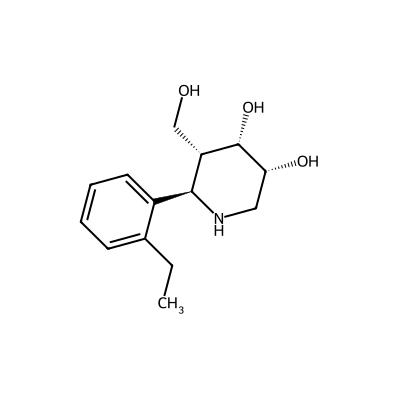 CCc1ccccc1[C@@H]1NC[C@@H](O)[C@@H](O)[C@H]1CO